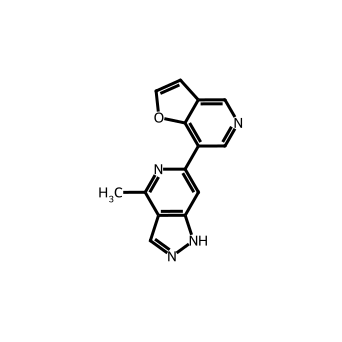 Cc1nc(-c2cncc3ccoc23)cc2[nH]ncc12